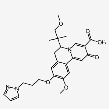 COCC(C)(C)C1Cc2cc(OCCCn3cccn3)c(OC)cc2-c2cc(=O)c(C(=O)O)cn21